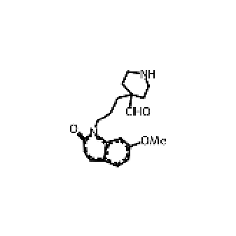 COc1ccc2ccc(=O)n(CCCC3(C=O)CCNCC3)c2c1